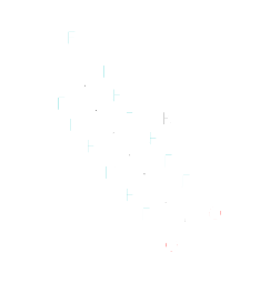 O=C([O-])C(F)(F)C(F)(F)C(F)(F)C(F)(F)C(F)(F)C(F)(F)CF.[K+]